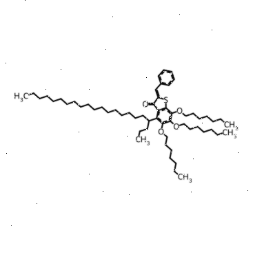 CCCCCCCCCCCCCCCCCCC(CCC)c1c(OCCCCCCC)c(OCCCCCCC)c(OCCCCCCC)c2c1C(=O)C(=Cc1ccccc1)S2